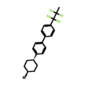 CC[C@H]1CC[C@H](c2ccc(-c3ccc(C(F)(F)C(C)(F)F)cc3)cc2)CC1